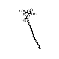 CCCCCCCCCCCCCCCCCCCCOC(CO)COC1=C(O)C(=O)O[C@@H]1[C@@H](O)CO